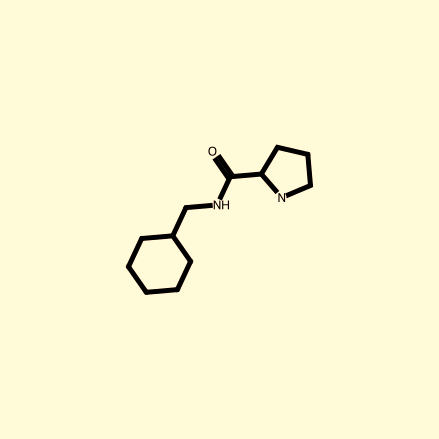 O=C(NCC1CCCCC1)C1CCC[N]1